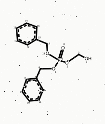 O=P(OCO)(OCc1ccccc1)OCc1ccccc1